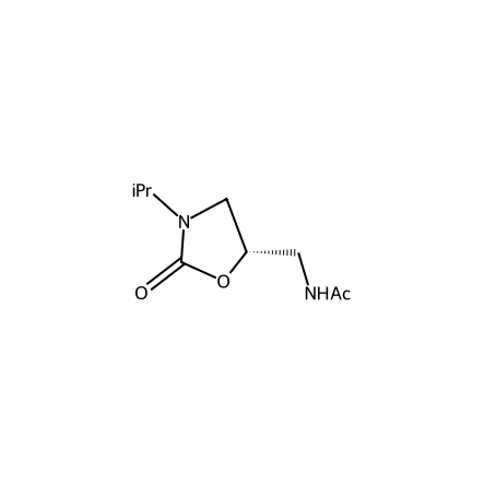 CC(=O)NC[C@H]1CN(C(C)C)C(=O)O1